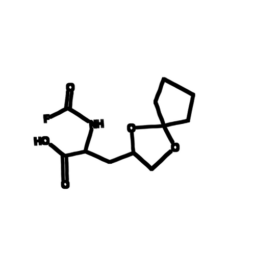 O=C(F)NC(CC1COC2(CCCC2)O1)C(=O)O